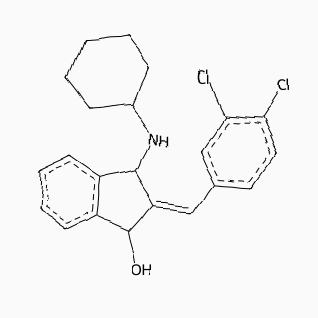 OC1/C(=C/c2ccc(Cl)c(Cl)c2)C(NC2CCCCC2)c2ccccc21